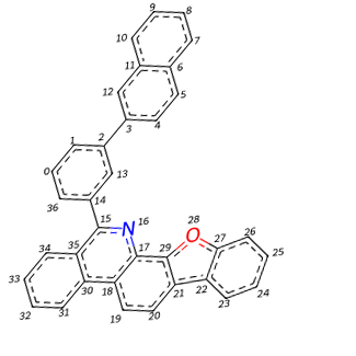 c1cc(-c2ccc3ccccc3c2)cc(-c2nc3c(ccc4c5ccccc5oc43)c3ccccc23)c1